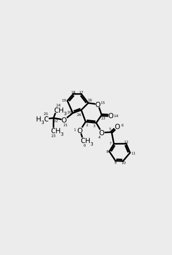 COc1c(OC(=O)c2ccccc2)c(=O)oc2cccc(OC(C)(C)C)c12